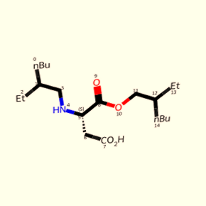 CCCCC(CC)CN[C@@H](CC(=O)O)C(=O)OCC(CC)CCCC